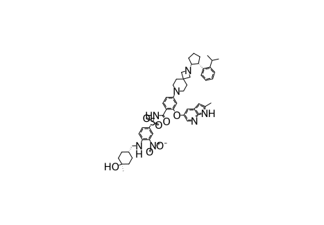 Cc1cc2cc(Oc3cc(N4CCC5(CC4)CN([C@@H]4CCC[C@@H]4c4ccccc4C(C)C)C5)ccc3C(=O)NS(=O)(=O)c3ccc(NC[C@H]4CC[C@](C)(O)CC4)c([N+](=O)[O-])c3)cnc2[nH]1